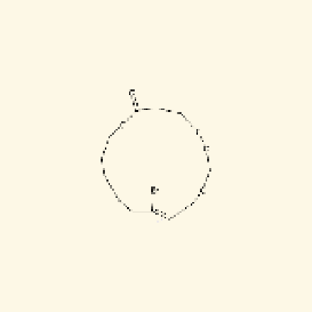 O=C1CCCCCCC/C=C(\Br)CCCCCC1